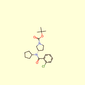 CC(C)(C)OC(=O)N1CC[C@H](N(C(=O)c2ccccc2Cl)C2CCCC2)C1